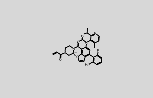 C=CC(=O)N1CCN(c2nc(=O)n(-c3c(C)ccnc3C(C)C)c3cc(-c4c(O)cccc4F)c4ccoc4c23)[C@@H](C)C1